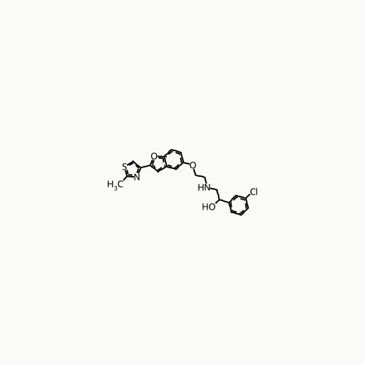 Cc1nc(-c2cc3cc(OCCNCC(O)c4cccc(Cl)c4)ccc3o2)cs1